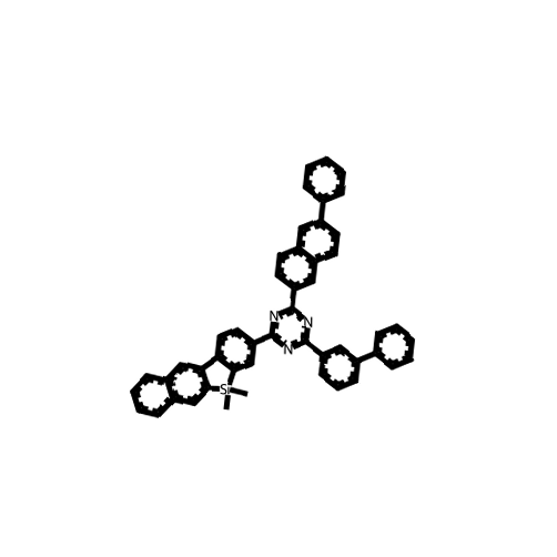 C[Si]1(C)c2cc(-c3nc(-c4cccc(-c5ccccc5)c4)nc(-c4ccc5cc(-c6ccccc6)ccc5c4)n3)ccc2-c2cc3ccccc3cc21